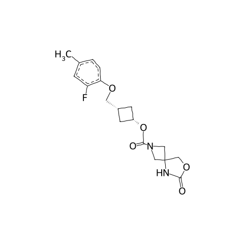 Cc1ccc(OC[C@H]2C[C@@H](OC(=O)N3CC4(COC(=O)N4)C3)C2)c(F)c1